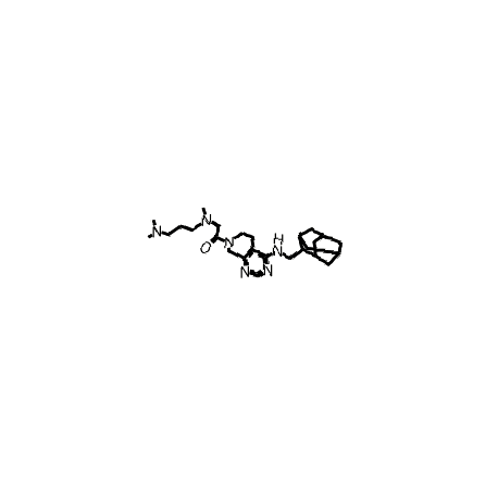 CN(C)CCCN(C)CC(=O)N1CCc2c(ncnc2NCC2C3CC4CC(C3)CC2C4)C1